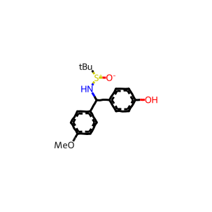 COc1ccc(C(N[S+]([O-])C(C)(C)C)c2ccc(O)cc2)cc1